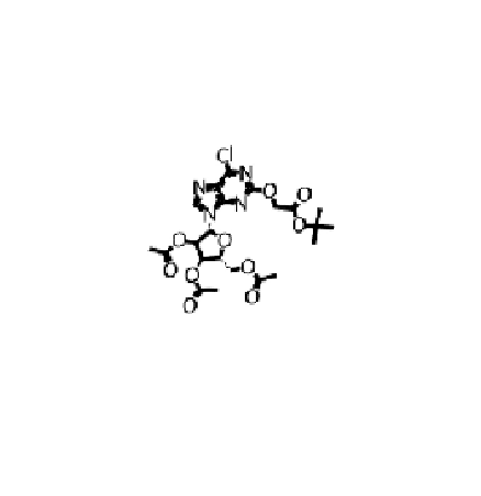 CC(=O)OC[C@H]1O[C@@H](n2cnc3c(Cl)nc(OCC(=O)OC(C)(C)C)nc32)[C@H](OC(C)=O)[C@@H]1OC(C)=O